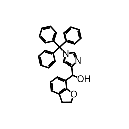 OC(c1cn(C(c2ccccc2)(c2ccccc2)c2ccccc2)cn1)c1cccc2c1OCC2